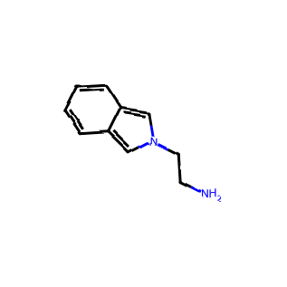 NCCn1cc2ccccc2c1